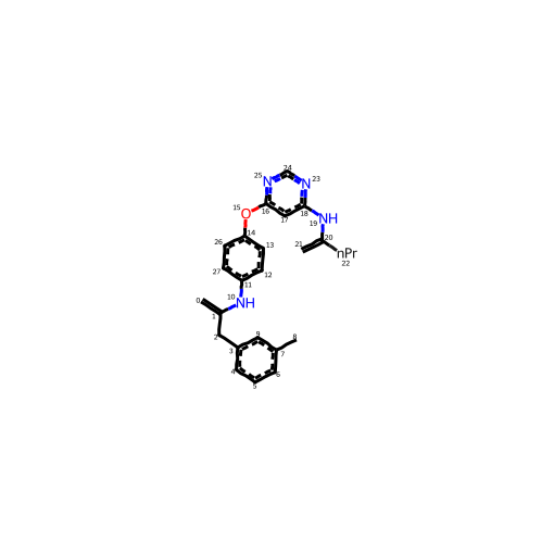 C=C(Cc1cccc(C)c1)Nc1ccc(Oc2cc(NC(=C)CCC)ncn2)cc1